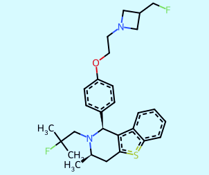 C[C@@H]1Cc2sc3ccccc3c2[C@H](c2ccc(OCCN3CC(CF)C3)cc2)N1CC(C)(C)F